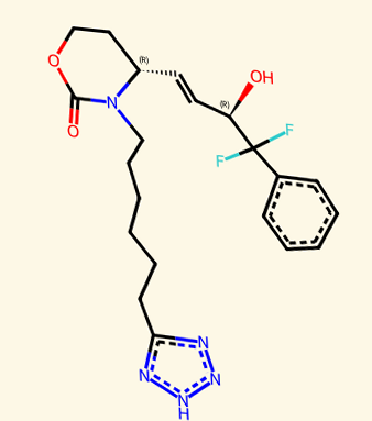 O=C1OCC[C@H](C=C[C@@H](O)C(F)(F)c2ccccc2)N1CCCCCCc1nn[nH]n1